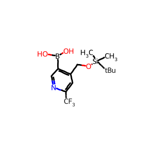 CC(C)(C)[Si](C)(C)OCc1cc(C(F)(F)F)ncc1B(O)O